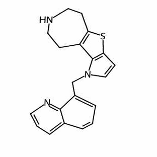 c1cnc2c(Cn3ccc4sc5c(c43)CCNCC5)cccc2c1